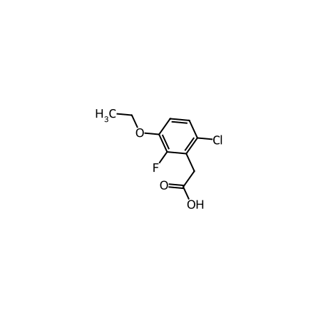 CCOc1ccc(Cl)c(CC(=O)O)c1F